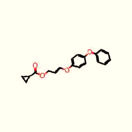 O=C(OCC=COc1ccc(Oc2ccccc2)cc1)C1CC1